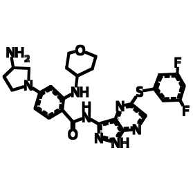 NC1CCN(c2ccc(C(=O)Nc3n[nH]c4ncc(Sc5cc(F)cc(F)c5)nc34)c(NC3CCOCC3)c2)C1